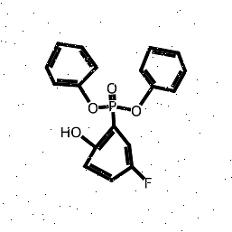 O=P(Oc1ccccc1)(Oc1ccccc1)c1cc(F)ccc1O